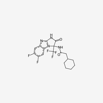 O=C(CC1CCCCC1)NC1(C(F)(F)F)C(=O)Nc2nc3cc(F)c(F)cc3n21